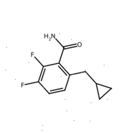 NC(=O)c1c([CH]C2CC2)ccc(F)c1F